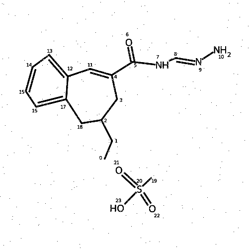 CCC1CC(C(=O)NC=NN)=Cc2ccccc2C1.CS(=O)(=O)O